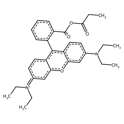 CCC(=O)OC(=O)c1ccccc1-c1c2ccc(=[N+](CC)CC)cc-2oc2cc(N(CC)CC)ccc12